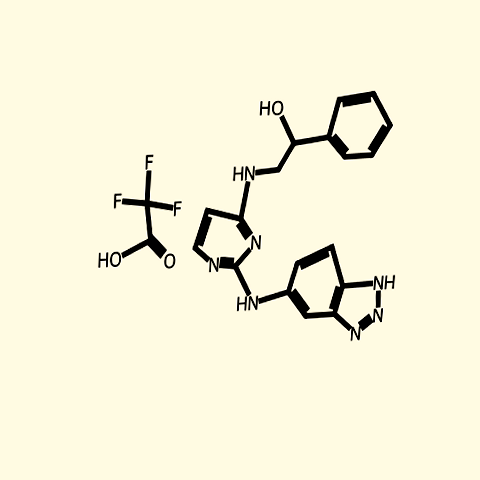 O=C(O)C(F)(F)F.OC(CNc1ccnc(Nc2ccc3[nH]nnc3c2)n1)c1ccccc1